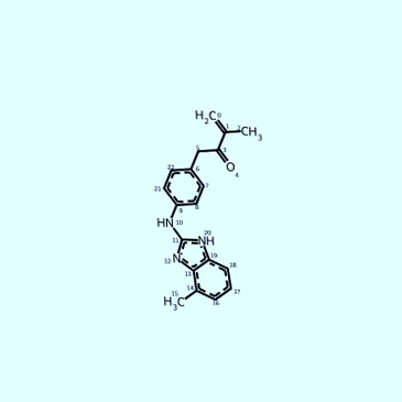 C=C(C)C(=O)Cc1ccc(Nc2nc3c(C)cccc3[nH]2)cc1